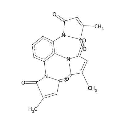 CC1=CC(=O)N(c2cccc(N3C(=O)C=C(C)C3=O)c2N2C(=O)C=C(C)C2=O)C1=O